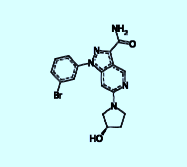 NC(=O)c1nn(-c2cccc(Br)c2)c2cc(N3CC[C@@H](O)C3)ncc12